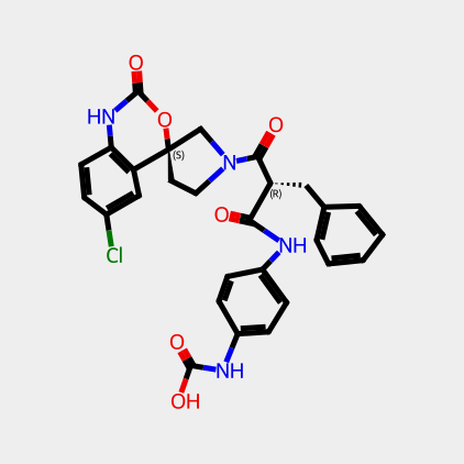 O=C(O)Nc1ccc(NC(=O)[C@@H](Cc2ccccc2)C(=O)N2CC[C@]3(C2)OC(=O)Nc2ccc(Cl)cc23)cc1